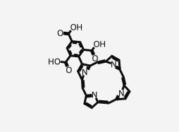 O=C(O)c1cc(C(=O)O)c(C2=CC3=CC4=NC(=CC5=NC(=CC6=NC(=CC2=N3)C=C6)C=C5)C=C4)c(C(=O)O)c1